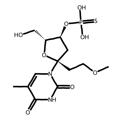 COCC[C@]1(n2cc(C)c(=O)[nH]c2=O)C[C@H](OP(O)(O)=S)[C@@H](CO)O1